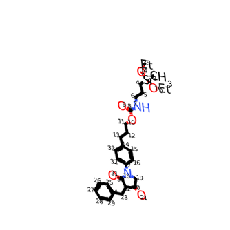 CCO[Si](C)(CCCNC(=O)OCCCc1ccc(N2CC(=O)C(Cc3ccccc3)C2=O)cc1)OCC